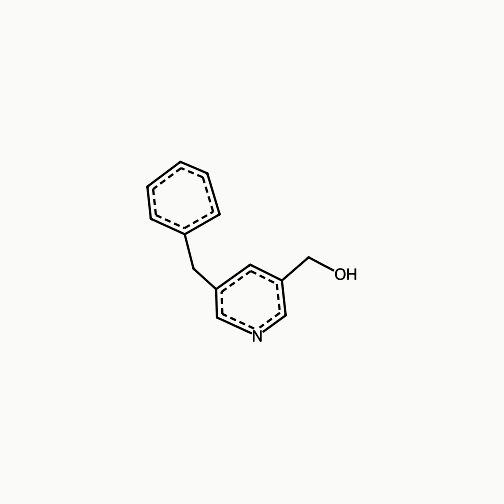 OCc1cncc(Cc2ccccc2)c1